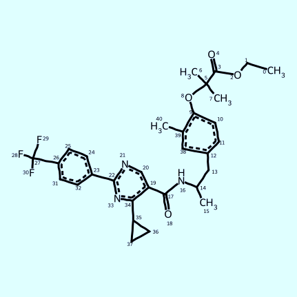 CCOC(=O)C(C)(C)Oc1ccc(CC(C)NC(=O)c2cnc(-c3ccc(C(F)(F)F)cc3)nc2C2CC2)cc1C